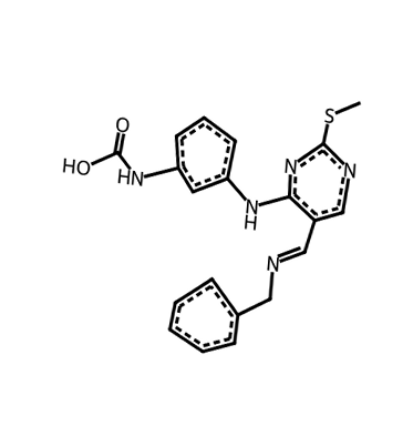 CSc1ncc(C=NCc2ccccc2)c(Nc2cccc(NC(=O)O)c2)n1